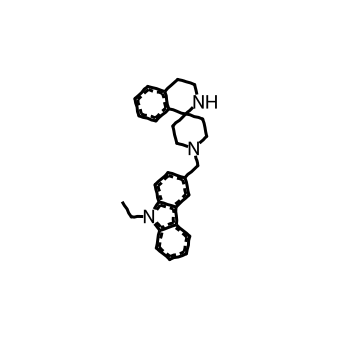 CCn1c2ccccc2c2cc(CN3CCC4(CC3)NCCc3ccccc34)ccc21